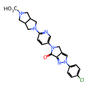 O=C(O)N1CC2CN(c3ccc(N4Cc5cn(-c6ccc(Cl)cc6)nc5C4=O)cn3)CC2C1